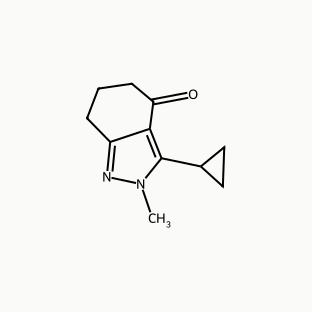 Cn1nc2c(c1C1CC1)C(=O)CCC2